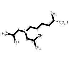 CC(O)CN(CCCC[C@H](C)C(=O)O)CC(C)O